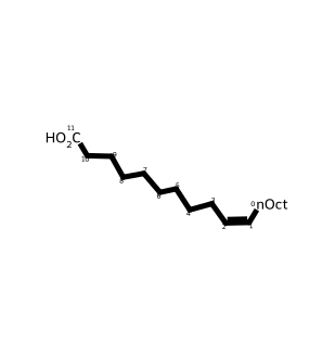 CCCCCCCC/C=C\CCCCCCCCC(=O)O